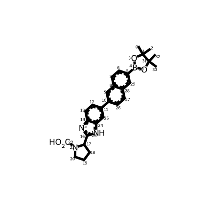 CC1(C)OB(c2ccc3cc(-c4ccc5nc(C6CCCN6C(=O)O)[nH]c5c4)ccc3c2)OC1(C)C